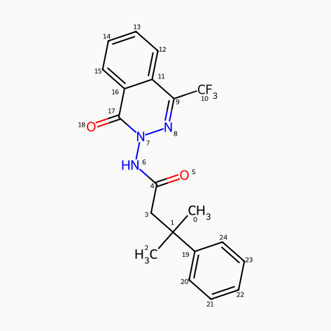 CC(C)(CC(=O)Nn1nc(C(F)(F)F)c2ccccc2c1=O)c1ccccc1